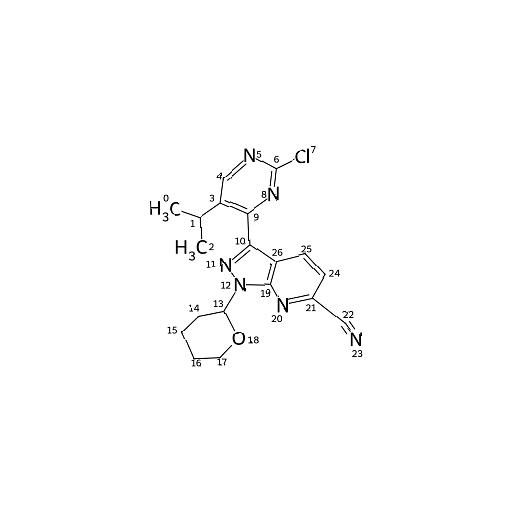 CC(C)c1cnc(Cl)nc1-c1nn(C2CCCCO2)c2nc(C#N)ccc12